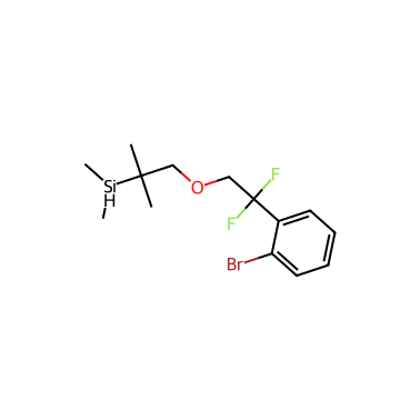 C[SiH](C)C(C)(C)COCC(F)(F)c1ccccc1Br